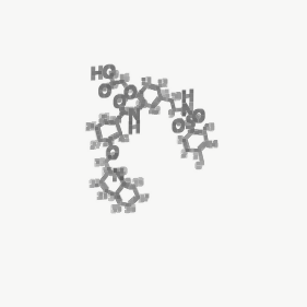 Cc1ccc(S(=O)(=O)NCCc2ccc(OCC(=O)O)c(NC(=O)c3cccc(OCc4ccc5ccccc5n4)c3)c2)cc1